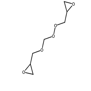 C(OCC1CO1)OOCC1CO1